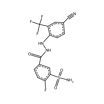 N#Cc1ccc(NNC(=O)c2ccc(F)c(S(N)(=O)=O)c2)c(C(F)(F)F)c1